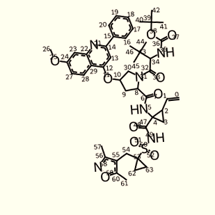 C=CC1CC1(NC(=O)C1CC(Oc2cc(-c3ccccc3)nc3cc(OC)ccc23)CN1C(=O)C(NC(=O)OC(C)(C)C)C(C)(C)C)C(=O)NS(=O)(=O)C1(Cc2c(C)noc2C)CC1